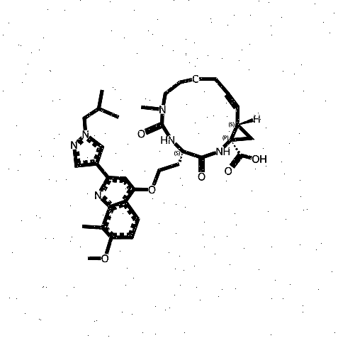 COc1ccc2c(OCC[C@@H]3NC(=O)N(C)CCCCC=C[C@@H]4C[C@@]4(C(=O)O)NC3=O)cc(-c3cnn(CC(C)C)c3)nc2c1C